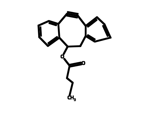 CCCC(=O)OC1Cc2ccccc2C#Cc2ccccc21